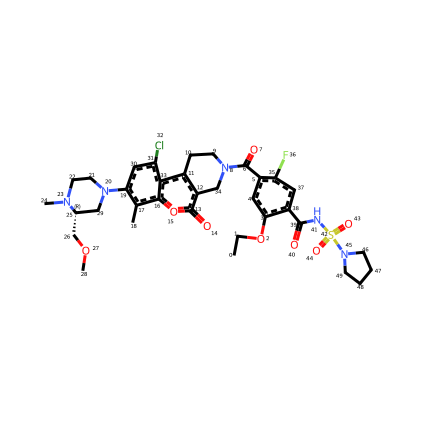 CCOc1cc(C(=O)N2CCc3c(c(=O)oc4c(C)c(N5CCN(C)[C@@H](COC)C5)cc(Cl)c34)C2)c(F)cc1C(=O)NS(=O)(=O)N1CCCC1